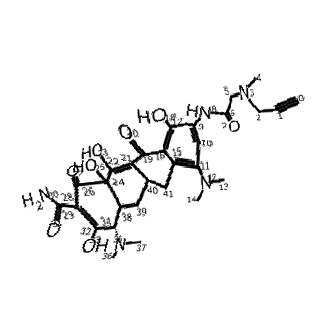 C#CCN(C)CC(=O)Nc1cc(N(C)C)c2c(c1O)C(=O)C1=C(O)C3(O)C(=O)C(C(N)=O)=C(O)[C@@H](N(C)C)C3CC1C2